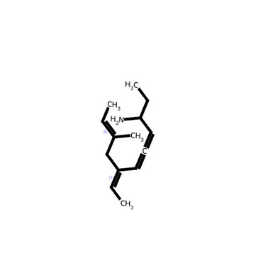 C/C=C(\C=C=CC(N)CC)C/C(C)=C/C